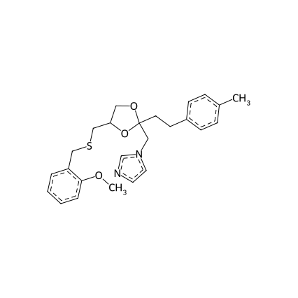 COc1ccccc1CSCC1COC(CCc2ccc(C)cc2)(Cn2ccnc2)O1